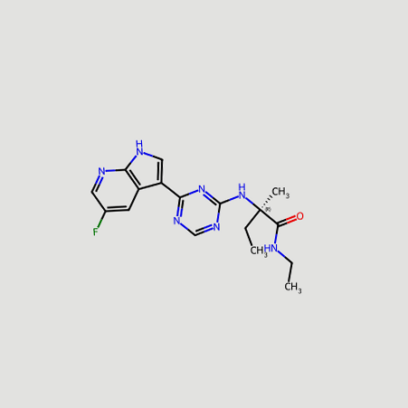 CCNC(=O)[C@@](C)(CC)Nc1ncnc(-c2c[nH]c3ncc(F)cc23)n1